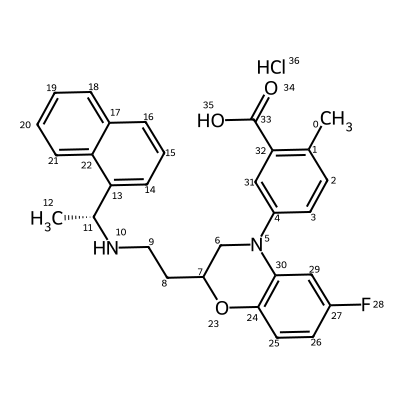 Cc1ccc(N2CC(CCN[C@H](C)c3cccc4ccccc34)Oc3ccc(F)cc32)cc1C(=O)O.Cl